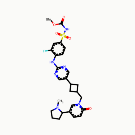 CN1CCCC1c1ccc(=O)n(CC2CC(c3cnc(Nc4ccc(S(=O)(=O)NC(=O)OC(C)(C)C)cc4F)nc3)C2)c1